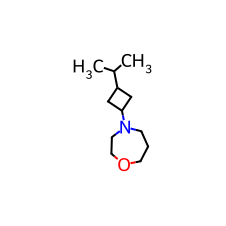 CC(C)C1CC(N2CCCOCC2)C1